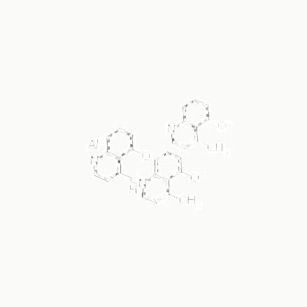 Cc1ccnc2cccc([O-])c12.Cc1ccnc2cccc([O-])c12.Cc1ccnc2cccc([O-])c12.[Al+3]